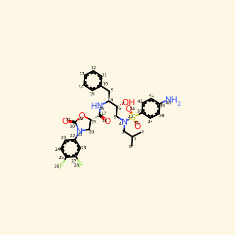 CC(C)CN(C[C@@H](O)[C@H](Cc1ccccc1)NC(=O)[C@@H]1CN(c2ccc(F)c(F)c2)C(=O)O1)S(=O)(=O)c1ccc(N)cc1